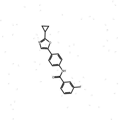 O=C(Nc1ccc(-c2cnc(C3CC3)o2)cc1)c1cccc(F)c1